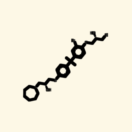 CC(C)(c1ccc(OC[C@H](O)CN2CCCCCC2)cc1)c1ccc(OC[C@H](O)CCl)c(Br)c1